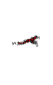 COCCOCCOCCOC(=O)Nc1ccc(C[C@H](NC(=O)OC(C)(C)C)C(=O)Nc2ccc(C(=O)O)cc2)cc1